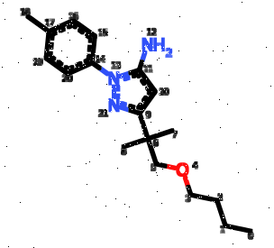 CCCCOCC(C)(C)c1cc(N)n(-c2ccc(C)cc2)n1